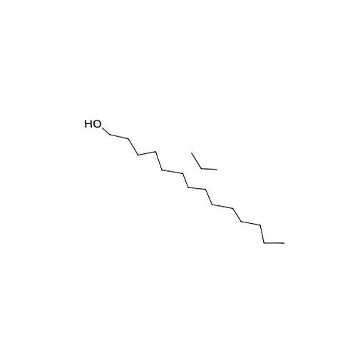 CCC.CCCCCCCCCCCCCCO